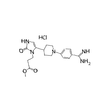 COC(=O)CCn1c(C2CCN(c3ccc(C(=N)N)cc3)CC2)c[nH]c1=O.Cl